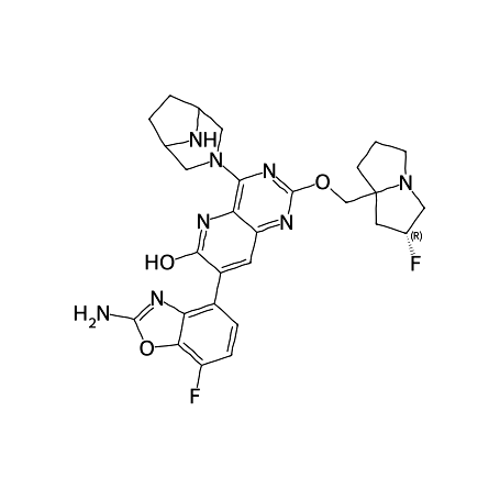 Nc1nc2c(-c3cc4nc(OCC56CCCN5C[C@H](F)C6)nc(N5CC6CCC(C5)N6)c4nc3O)ccc(F)c2o1